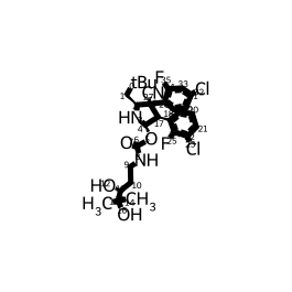 CC(C)(C)C[C@@H]1N[C@H](OC(=O)NCC[C@H](O)C(C)(C)O)[C@H](c2cccc(Cl)c2F)[C@@]1(C#N)c1ccc(Cl)cc1F